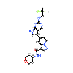 CC(F)(F)CNc1ncc2c(-c3ccn4ncc(C(=O)NC5CCOCC5)c4c3)c[nH]c2n1